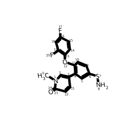 Cn1cc(-c2cc(SN)ccc2Oc2ccc(F)cc2F)ccc1=O